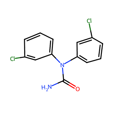 NC(=O)N(c1cccc(Cl)c1)c1cccc(Cl)c1